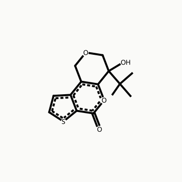 CC(C)(C)C1(O)COCc2c1oc(=O)c1sccc21